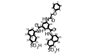 O=C(COc1ccccc1)Nc1cc(C(=O)Nc2cccc3cc(S(=O)(=O)O)ccc23)cc(C(=O)Nc2cccc3cc(S(=O)(=O)O)ccc23)c1